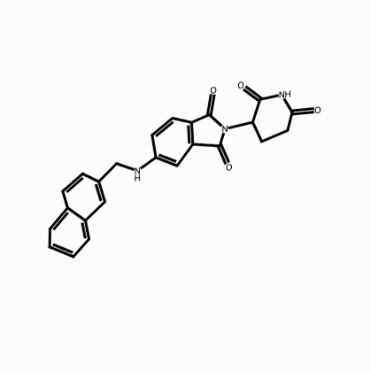 O=C1CCC(N2C(=O)c3ccc(NCc4ccc5ccccc5c4)cc3C2=O)C(=O)N1